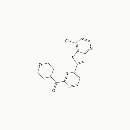 O=C(c1cccc(-c2cc3nccc(Cl)c3s2)n1)N1CCOCC1